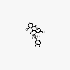 Cc1ccc(S(=O)(=O)Nc2cc(Cl)cnc2C(=O)c2c(F)cccc2Cl)cc1C